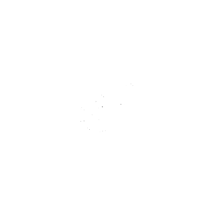 CCCN(CCC)C(=O)c1cc(C)cc(C(=O)N[C@@H](Cc2cc(F)cc(F)c2)[C@H](O)CN[C@@H](Cc2ccccc2)C(=O)NCC(C)C)c1